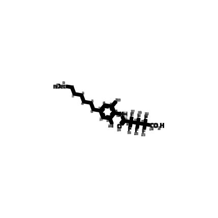 CCCCCCCCCCCCCCCCc1cc(I)c(NC(=O)C(F)(F)C(F)(F)C(F)(F)C(=O)O)c(I)c1